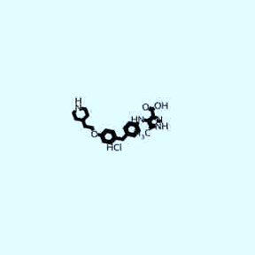 Cc1[nH]nc(C(=O)O)c1Nc1ccc(Cc2ccc(OCCC3CCNCC3)cc2)cc1.Cl